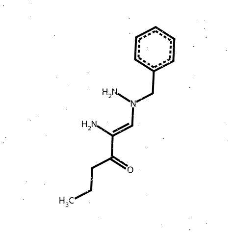 CCCC(=O)/C(N)=C/N(N)Cc1ccccc1